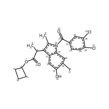 Cc1c(C(C)C(=O)OC2CCC2)c2cc(O)c(F)cc2n1C(=O)c1ccc(Cl)c(Cl)c1